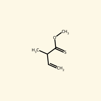 C=CC(C)C(=S)OC